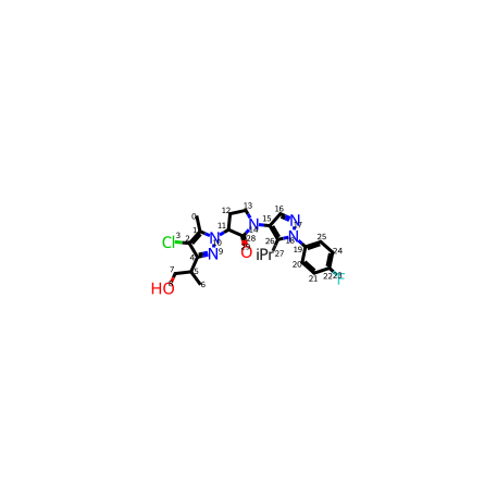 Cc1c(Cl)c(C(C)CO)nn1C1CCN(c2cnn(-c3ccc(F)cc3)c2C(C)C)C1=O